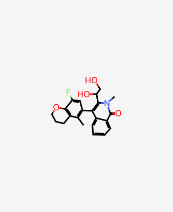 Cc1c(-c2c(C(O)CO)n(C)c(=O)c3ccccc23)cc(F)c2c1CCCO2